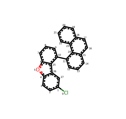 Clc1ccc2oc3cccc(-c4cccc5ccc6ccccc6c45)c3c2c1